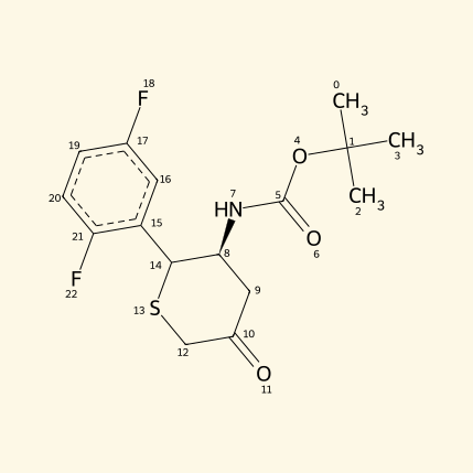 CC(C)(C)OC(=O)N[C@H]1CC(=O)CSC1c1cc(F)ccc1F